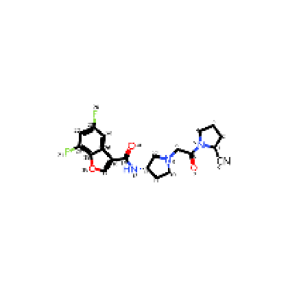 N#CC1CCCN1C(=O)CN1CC[C@H](NC(=O)c2coc3c(F)cc(F)cc23)C1